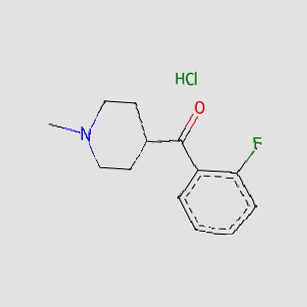 CN1CCC(C(=O)c2ccccc2F)CC1.Cl